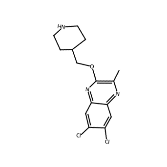 Cc1nc2cc(Cl)c(Cl)cc2nc1OCC1CCNCC1